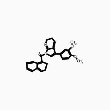 COc1ccc(-c2cn(C(=O)C3=c4ccccc4=CCC3)c3c2=CCCN=3)cc1OC